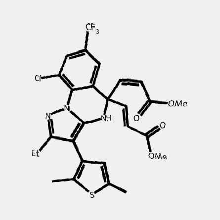 CCc1nn2c(c1-c1cc(C)sc1C)NC(/C=C\C(=O)OC)(/C=C/C(=O)OC)c1cc(C(F)(F)F)cc(Cl)c1-2